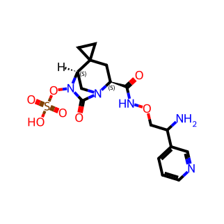 NC(CONC(=O)[C@@H]1CC2(CC2)[C@H]2CN1C(=O)N2OS(=O)(=O)O)c1cccnc1